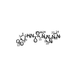 O=C(NCCc1ccc2c(c1)OCO2)C1CN(c2ccnc(-n3ccnc3)n2)CCO1